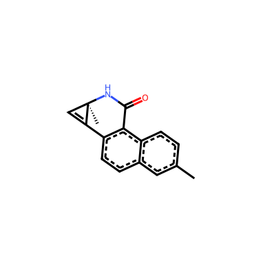 Cc1ccc2c3c(ccc2c1)C1=C[C@@]1(C)NC3=O